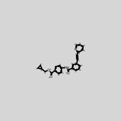 O=C(Nc1ccc(C(=O)OCC2CC2)cc1)c1cccc(C#Cc2ccccn2)c1